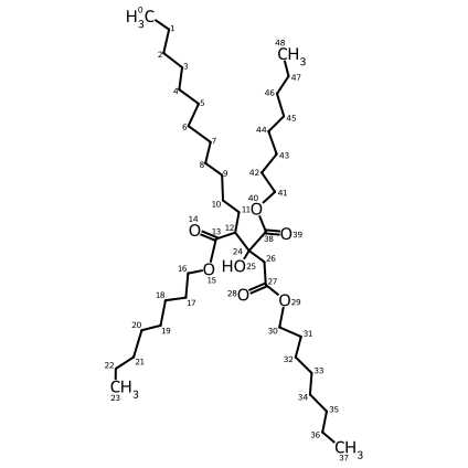 CCCCCCCCCCCCC(C(=O)OCCCCCCCC)C(O)(CC(=O)OCCCCCCCC)C(=O)OCCCCCCCC